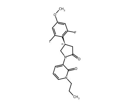 CCCn1cccc(N2C[C@@H](c3c(F)cc(OC)cc3I)CC2=O)c1=O